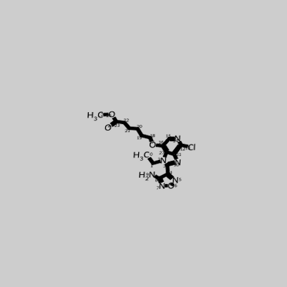 CCn1c(-c2nonc2N)nc2c(Cl)ncc(OCCCCCC(=O)OC)c21